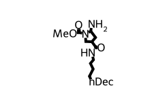 CCCCCCCCCCCCCCNC(=O)C1CC(N)N(C(=O)OC)C1